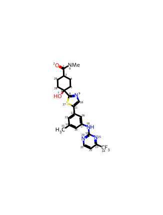 CNC(=O)C1CCC(O)(c2ncc(-c3cc(C)cc(Nc4nccc(C(F)(F)F)n4)c3)s2)CC1